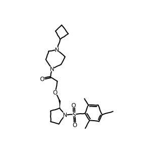 Cc1cc(C)c(S(=O)(=O)N2CCC[C@H]2COCC(=O)N2CCN(C3CCC3)CC2)c(C)c1